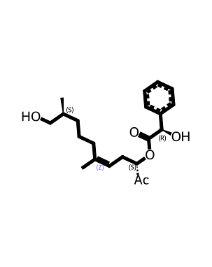 CC(=O)[C@H](C/C=C(/C)CCC[C@H](C)CO)OC(=O)[C@H](O)c1ccccc1